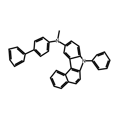 CN(c1ccc(-c2ccccc2)cc1)c1ccc2c(c1)c1c3ccccc3ccc1n2-c1ccccc1